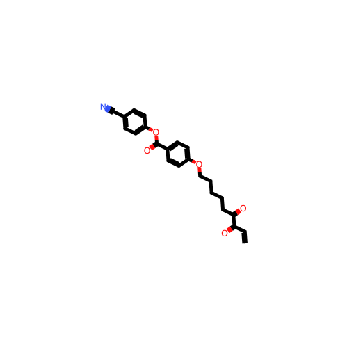 C=CC(=O)C(=O)CCCCCOc1ccc(C(=O)Oc2ccc(C#N)cc2)cc1